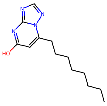 CCCCCCCCc1cc(O)nc2ncnn12